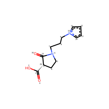 O=C(O)[C@H]1CCN(CCCn2cccc2)C1=O